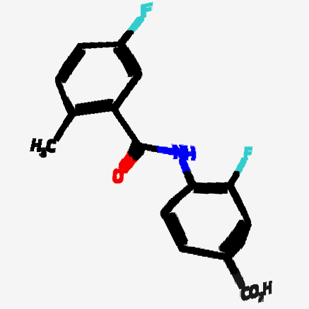 Cc1ccc(F)cc1C(=O)Nc1ccc(C(=O)O)cc1F